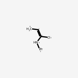 C/C=C(/Cl)NC(C)C